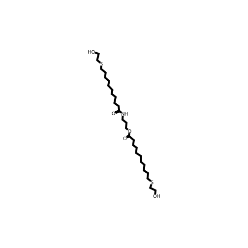 O=C(CCCCCCCCCCSCCO)NCCCOC(=O)CCCCCCCCCCSCCO